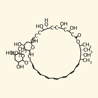 CC1OC(O[C@H]2/C=C/C=C/C=C/C=C/C=C/C=C/C=C/[C@H](C)[C@@H](O)[C@@H](C)[C@H](C)OC(=O)C[C@H](O)C[C@H](O)CC[C@@H](O)[C@H](O)CCC[C@]3(O)C[C@H](O)[C@@H](C(=O)O)[C@H](C2)O3)C(O)CC1O